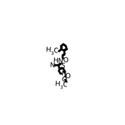 CCOC(=O)N1CCc2c(sc(NC(=O)C=Cc3ccccc3CC)c2C#N)C1